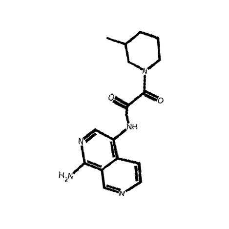 CC1CCCN(C(=O)C(=O)Nc2cnc(N)c3cnccc23)C1